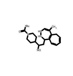 CC1=CNNC(CC(N=O)C2CCN(C(=O)C(C)(C)C)CC2)C2=C1CC=CC=C2